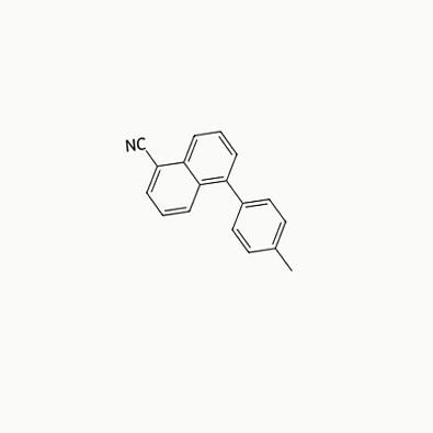 Cc1ccc(-c2cccc3c(C#N)cccc23)cc1